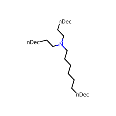 CCCCCCCCCCCCCCCCN(CCCCCCCCCCCC)CCCCCCCCCCCC